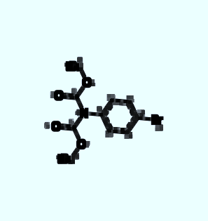 CC(C)(C)OC(=O)N(C(=O)OC(C)(C)C)c1ccc(Br)cc1